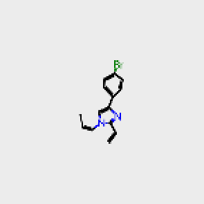 C=Cc1nc(-c2ccc(Br)cc2)cn1/C=C\C